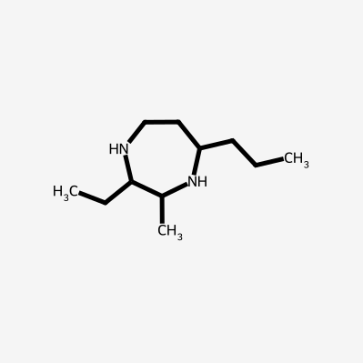 CCCC1CCNC(CC)C(C)N1